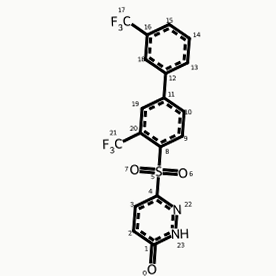 O=c1ccc(S(=O)(=O)c2ccc(-c3cccc(C(F)(F)F)c3)cc2C(F)(F)F)n[nH]1